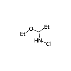 CCOC(CC)NCl